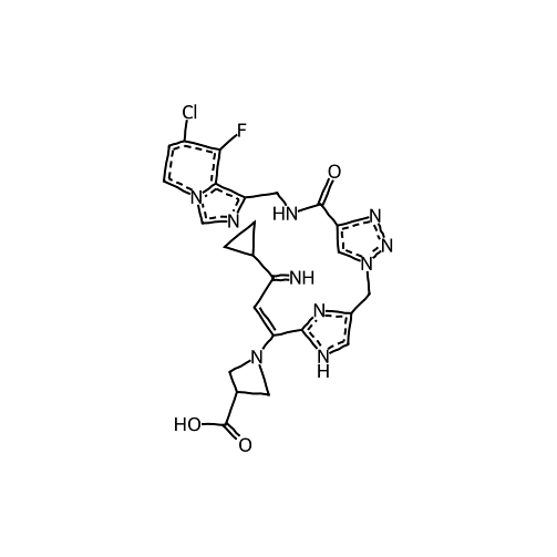 N=C(/C=C(\c1nc(Cn2cc(C(=O)NCc3ncn4ccc(Cl)c(F)c34)nn2)c[nH]1)N1CC(C(=O)O)C1)C1CC1